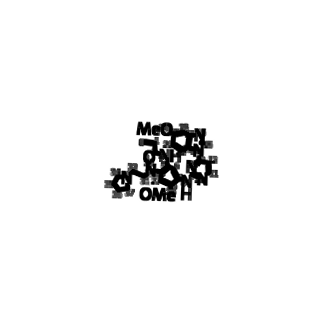 C=CC(=O)Nc1cc(Nc2nccc(-n3cnc4cc(OC)ccc43)n2)c(OC)cc1N(C)CCN1CCCC1